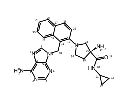 Nc1ncnc2c1ncn2Cc1c(N2CC[C@@](N)(C(=O)NC3CC3)C2)ccc2ccccc12